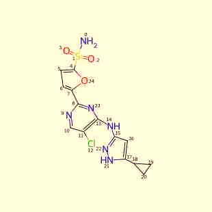 NS(=O)(=O)c1ccc(-c2ncc(Cl)c(Nc3cc(C4CC4)[nH]n3)n2)o1